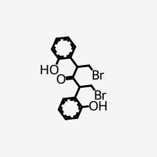 O=C(C(CBr)c1ccccc1O)C(CBr)c1ccccc1O